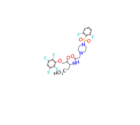 O=C(O)CC(NC(=O)CN1CCN(S(=O)(=O)c2c(F)cccc2F)CC1)C(=O)COc1c(F)c(F)cc(F)c1F